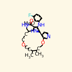 COc1c(F)cccc1Nc1c2[nH]c3c1C(=O)NCC3CCCOCCC(C)C(C)CCOc1cnccc1-2